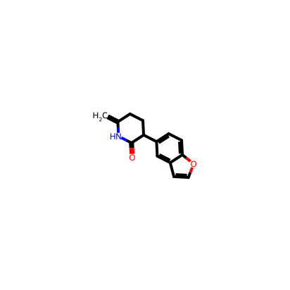 C=C1CCC(c2ccc3occc3c2)C(=O)N1